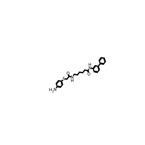 Nc1ccc(SCC(=O)NCCCCCC(=O)Nc2cccc(-c3ccccc3)c2)cc1